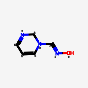 O/N=C/N1C=CC=NC1